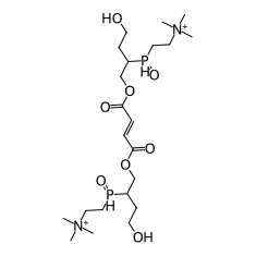 C[N+](C)(C)CC[PH](=O)C(CCO)COC(=O)/C=C/C(=O)OCC(CCO)[PH](=O)CC[N+](C)(C)C